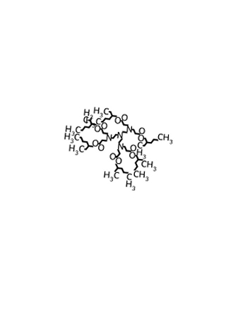 CCCCC(CC)COC(=O)CCN(CCC(=O)OCC(CC)CCCC)CCN(CCN(CCC(=O)OCC(CC)CCCC)CCC(=O)OCC(CC)CCCC)CCN(CCC(=O)OCC(CC)CCCC)CCC(=O)OCC(CC)CCCC